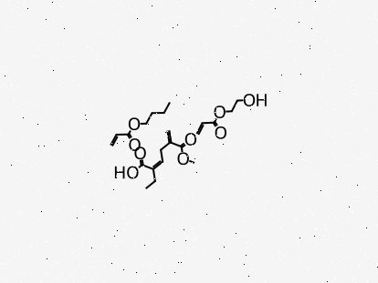 C=C(CC=C(CC)C(=O)O)C(=O)OC.C=CC(=O)OCCCC.C=CC(=O)OCCO